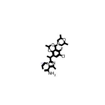 C=C(N)c1c(C)nc(C(C)c2cc(Cl)c(F)c(C(=O)N3CC(C)OC(C)C3)c2OC(C)C)n1/C=C\C